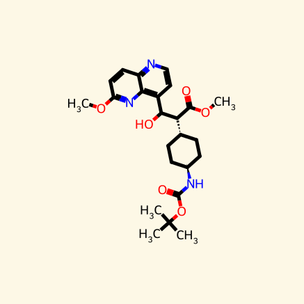 COC(=O)C(C(O)c1ccnc2ccc(OC)nc12)[C@H]1CC[C@H](NC(=O)OC(C)(C)C)CC1